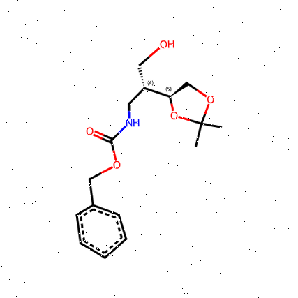 CC1(C)OC[C@H]([C@@H](CO)CNC(=O)OCc2ccccc2)O1